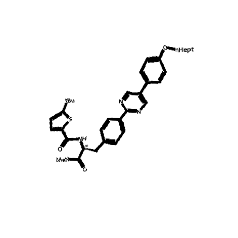 CCCCCCCOc1ccc(-c2cnc(-c3ccc(C[C@H](NC(=O)c4ccc(C(C)(C)C)s4)C(=O)NC)cc3)nc2)cc1